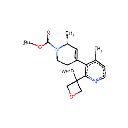 COC1(c2nccc(C)c2C2=C[C@@H](C)N(C(=O)OC(C)(C)C)CC2)COC1